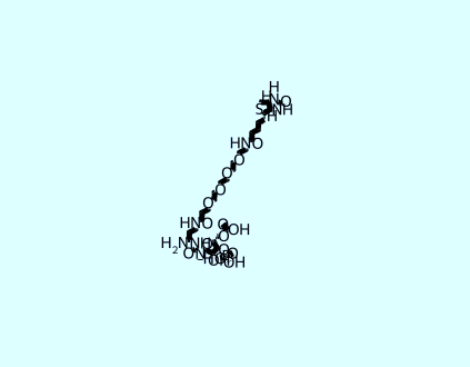 CN(C(=O)NC(N)CCNC(=O)CCOCCOCCOCCOCCNC(=O)CCCC[C@@H]1SC[C@@H]2NC(=O)N[C@@H]21)[C@@H]1O[C@H](COC(=O)O)[C@H](OP(=O)(O)O)C1O